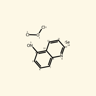 ClOCl.O=Nc1cccc2ncccc12.[Se]